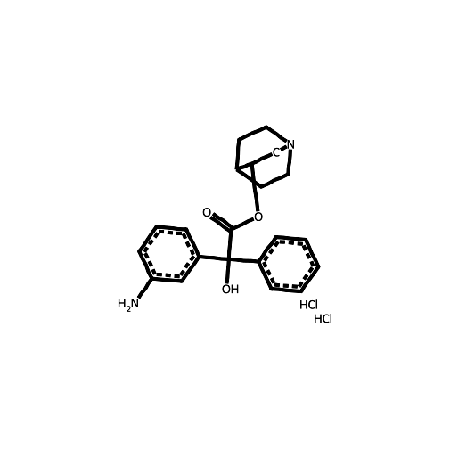 Cl.Cl.Nc1cccc(C(O)(C(=O)OC2CN3CCC2CC3)c2ccccc2)c1